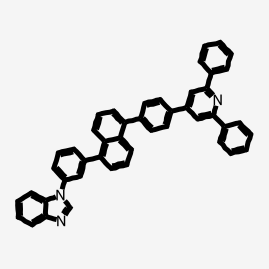 c1ccc(-c2cc(-c3ccc(-c4cccc5c(-c6cccc(-n7cnc8ccccc87)c6)cccc45)cc3)cc(-c3ccccc3)n2)cc1